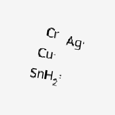 [Ag].[Cr].[Cu].[SnH2]